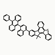 CC1(C)c2ccc(-c3ccc(-c4c5ccccc5c(-c5ccccc5)c5ccccc45)c4ccccc34)cc2-c2c1c1c3ccccc3sc1c1ccccc21